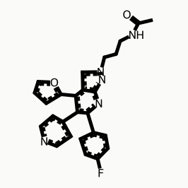 CC(=O)NCCCn1cc2c(-c3ccco3)c(-c3ccncc3)c(-c3ccc(F)cc3)nc2n1